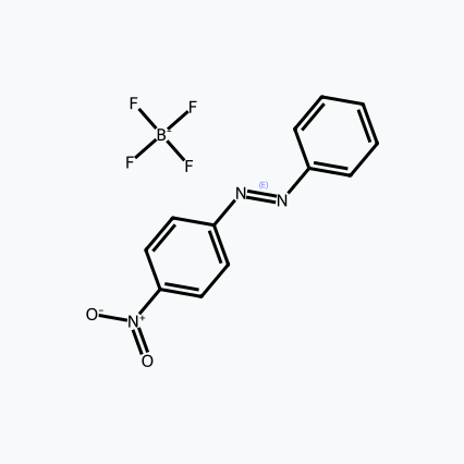 F[B-](F)(F)F.O=[N+]([O-])c1ccc(/N=N/c2ccccc2)cc1